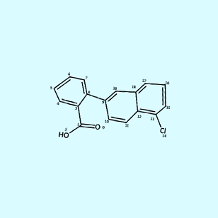 O=C(O)c1ccccc1-c1ccc2c(Cl)cccc2c1